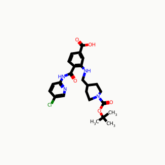 CC(C)(C)OC(=O)N1CCC(CNc2cc(C(=O)O)ccc2C(=O)Nc2ccc(Cl)cn2)CC1